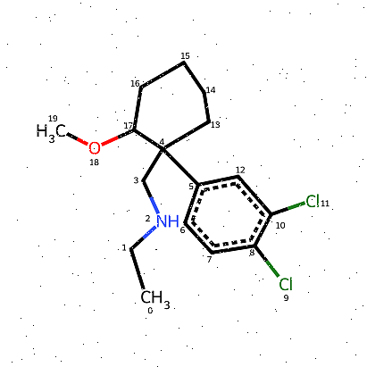 CCNCC1(c2ccc(Cl)c(Cl)c2)CCCCC1OC